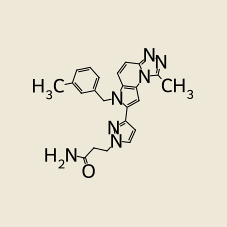 Cc1cccc(Cn2c(-c3ccn(CCC(N)=O)n3)cc3c2ccc2nnc(C)n23)c1